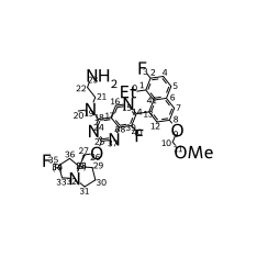 CCc1c(F)ccc2cc(OCOC)cc(-c3ncc4c(N(C)CCN)nc(OC[C@@]56CCCN5C[C@H](F)C6)nc4c3F)c12